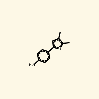 Cc1cc(-c2ccc(N)cc2)oc1C